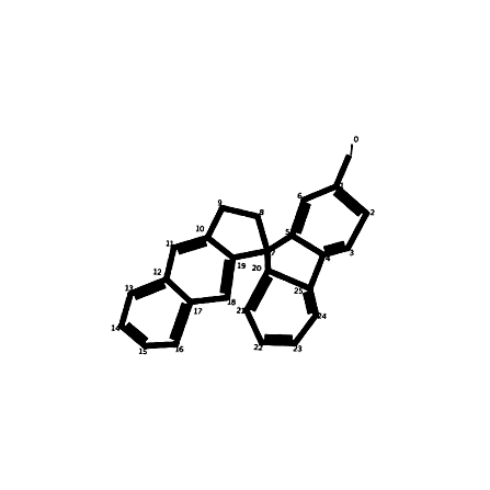 Ic1ccc2c(c1)C1(CCc3cc4ccccc4cc31)c1ccccc1-2